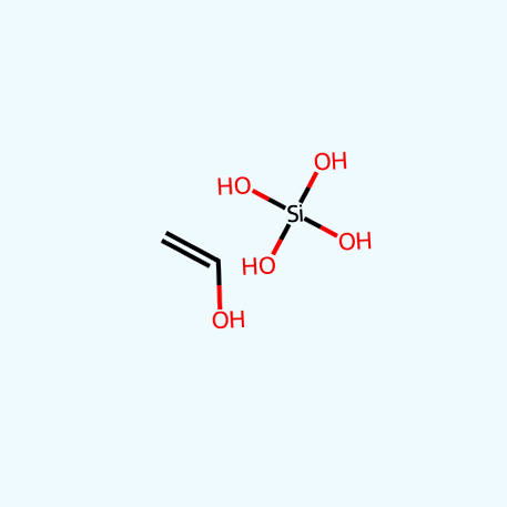 C=CO.O[Si](O)(O)O